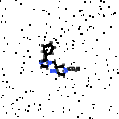 O=C(O)N1CCN[C@@H](Cn2ccnc2-c2ccccc2)C1